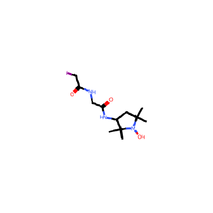 CC1(C)CC(NC(=O)CNC(=O)CI)C(C)(C)N1O